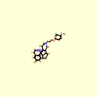 N#Cc1ccc(OCCCN2CCC(C3(C4CCCC4)NCCc4cc(F)ccc43)CC2)cc1